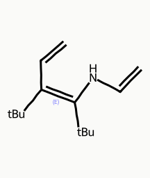 C=CN/C(=C(\C=C)C(C)(C)C)C(C)(C)C